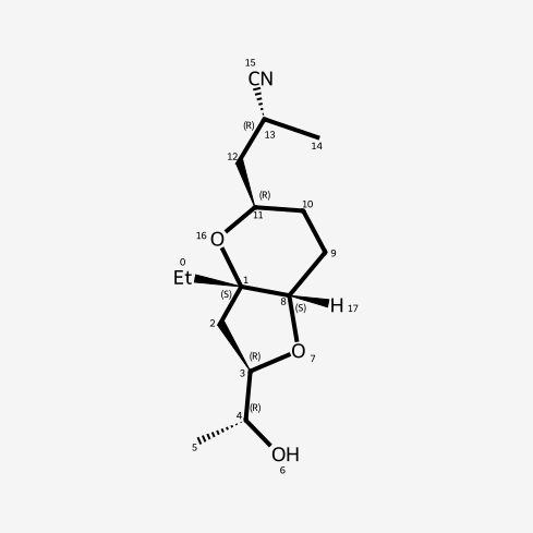 CC[C@]12C[C@H]([C@@H](C)O)O[C@H]1CC[C@H](C[C@@H](C)C#N)O2